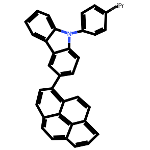 CC(C)c1ccc(-n2c3ccccc3c3cc(-c4ccc5ccc6cccc7ccc4c5c67)ccc32)cc1